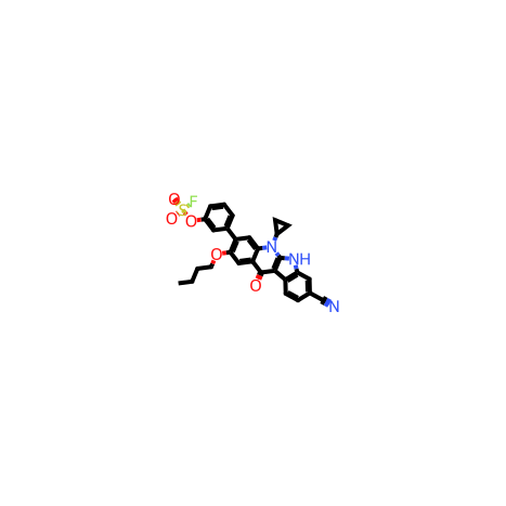 CCCCOc1cc2c(=O)c3c4ccc(C#N)cc4[nH]c3n(C3CC3)c2cc1-c1cccc(OS(=O)(=O)F)c1